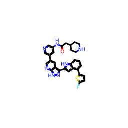 O=C(CC1CCNCC1)Nc1cncc(-c2cnc3[nH]nc(-c4cc5c(-c6ccc(F)s6)cccc5[nH]4)c3c2)c1